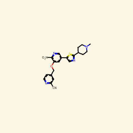 CN1CCC(c2ncc(-c3cnc([N+](=O)[O-])c(OCc4ccnc(C#N)c4)c3)s2)CC1